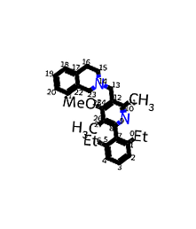 CCc1cccc(CC)c1-c1nc(C)c(CN2CCc3ccccc3C2)c(OC)c1C